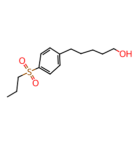 CCCS(=O)(=O)c1ccc(CCCCCO)cc1